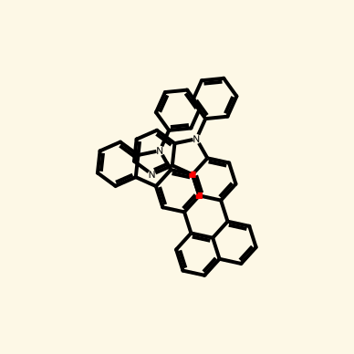 c1ccc(-n2c3ccccc3c3cc(-c4cccc5cccc(-c6ccc7c(c6)c6ncccc6n7-c6ccccc6)c45)ccc32)cc1